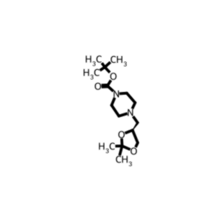 CC(C)(C)OC(=O)N1CCN(C[C@H]2COC(C)(C)O2)CC1